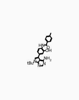 Cc1ccc(C(=O)Nc2ccc(-c3cn(C(C)(C)C)c4ncnc(N)c34)cc2O)cc1